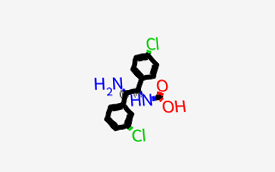 N[C@H](c1cccc(Cl)c1)[C@H](NC(=O)O)c1ccc(Cl)cc1